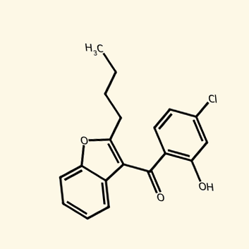 CCCCc1oc2ccccc2c1C(=O)c1ccc(Cl)cc1O